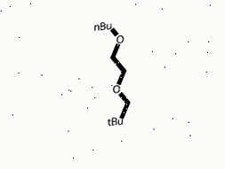 CCCCOCCOCC(C)(C)C